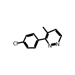 Cc1ccnnc1-c1ccc(Cl)cc1